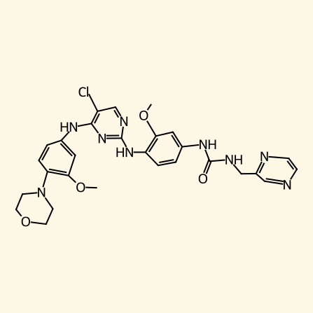 COc1cc(NC(=O)NCc2cnccn2)ccc1Nc1ncc(Cl)c(Nc2ccc(N3CCOCC3)c(OC)c2)n1